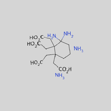 N.N.NC1(N)CCCC(CC(=O)O)(CC(=O)O)C1(CC(=O)O)CC(=O)O